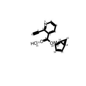 C#Cc1ncccc1C(=O)OC.Cl.c1cc2cc-2c1